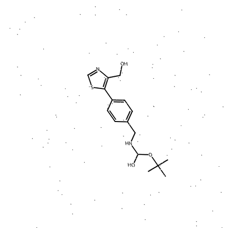 CC(C)(C)OC(O)NCc1ccc(-c2scnc2CO)cc1